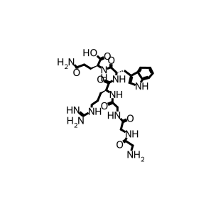 N=C(N)NCCC[C@H](NC(=O)CNC(=O)CNC(=O)CN)C(=O)N[C@@H](Cc1c[nH]c2ccccc12)C(=O)N[C@@H](CCC(N)=O)C(=O)O